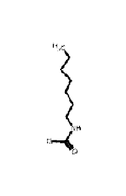 CCCCCCCNC(=O)Cl